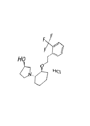 Cl.O[C@@H]1CCN([C@H]2CCCC[C@@H]2OCCc2ccccc2C(F)(F)F)C1